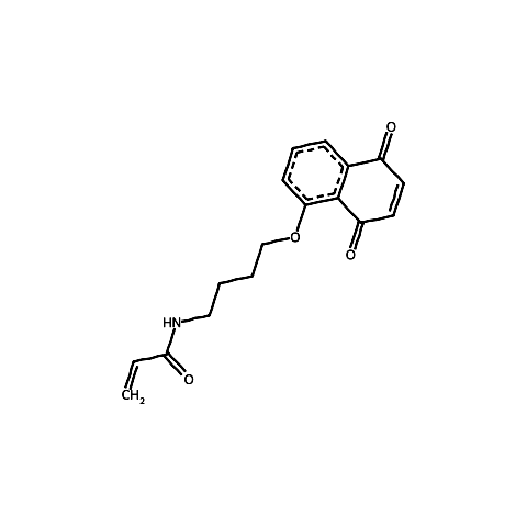 C=CC(=O)NCCCCOc1cccc2c1C(=O)C=CC2=O